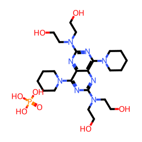 O=P(O)(O)O.OCCN(CCO)c1nc(N2CCCCC2)c2nc(N(CCO)CCO)nc(N3CCCCC3)c2n1